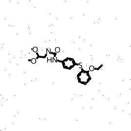 CCOc1ccccc1Sc1ccc(NC(=O)N(C)CC(OC)OC)cc1